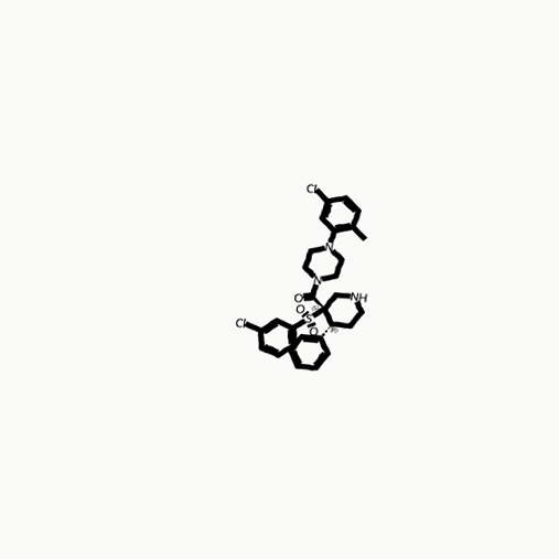 Cc1ccc(Cl)cc1N1CCN(C(=O)[C@@]2(S(=O)(=O)c3cccc(Cl)c3)CNCC[C@@H]2c2ccccc2)CC1